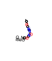 Cc1ccc(COc2ccc(N3CCN(CCC(=O)N4CCC(Oc5ccc([N+](=O)[O-])c(OCC(C)C)c5)CC4)CC3)cc2)cc1